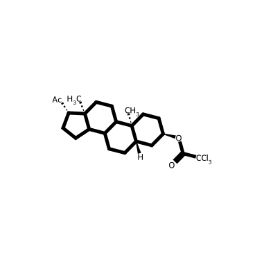 CC(=O)[C@H]1CCC2C3CC[C@H]4C[C@H](OC(=O)C(Cl)(Cl)Cl)CC[C@]4(C)C3CC[C@@]21C